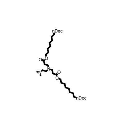 CCCCCCCCCCCCCCCCCCOC(=O)CCN(CCC(=O)OCCCCCCCCCCCCCCCCCC)CCN(C)C